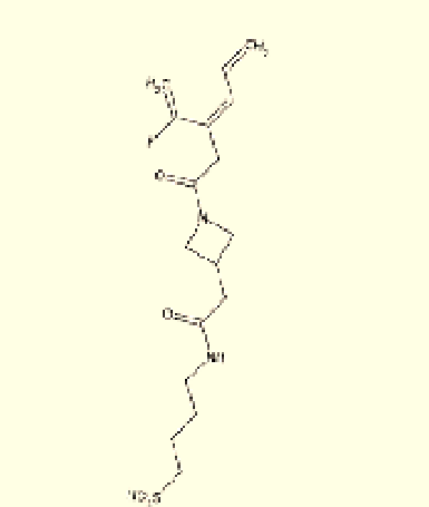 C=C/C=C(/CC(=O)N1CC(CC(=O)NCCCCS(=O)(=O)O)C1)C(=C)F